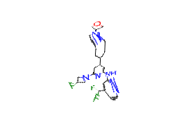 FC1CN(C2=NC(Nc3cc(C(F)F)ccn3)=CC(C3CCN(C4COC4)CC3)C2)C1